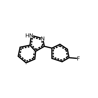 Fc1ccc(-c2n[nH]c3cc[c]cc23)cc1